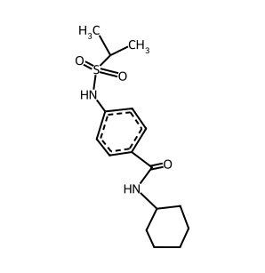 CC(C)S(=O)(=O)Nc1ccc(C(=O)NC2CCCCC2)cc1